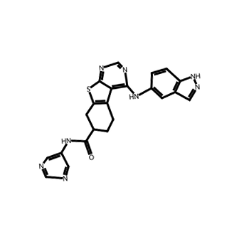 O=C(Nc1cncnc1)C1CCc2c(sc3ncnc(Nc4ccc5[nH]ncc5c4)c23)C1